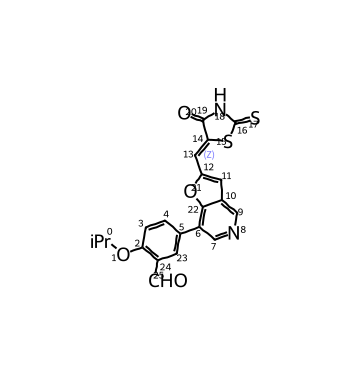 CC(C)Oc1ccc(-c2cncc3cc(/C=C4\SC(=S)NC4=O)oc23)cc1C=O